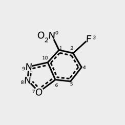 O=[N+]([O-])c1c(F)ccc2onnc12